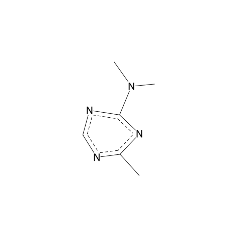 Cc1ncnc(N(C)C)n1